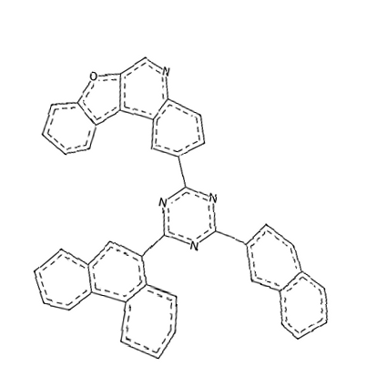 c1ccc2cc(-c3nc(-c4ccc5ncc6oc7ccccc7c6c5c4)nc(-c4cc5ccccc5c5ccccc45)n3)ccc2c1